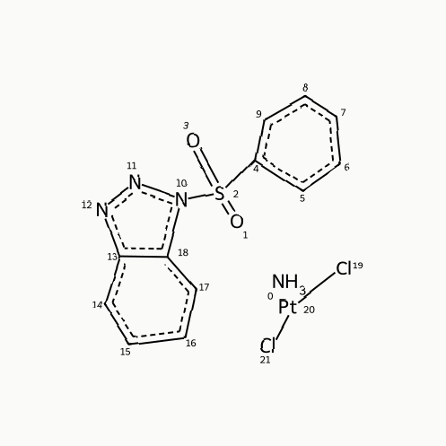 N.O=S(=O)(c1ccccc1)n1nnc2ccccc21.[Cl][Pt][Cl]